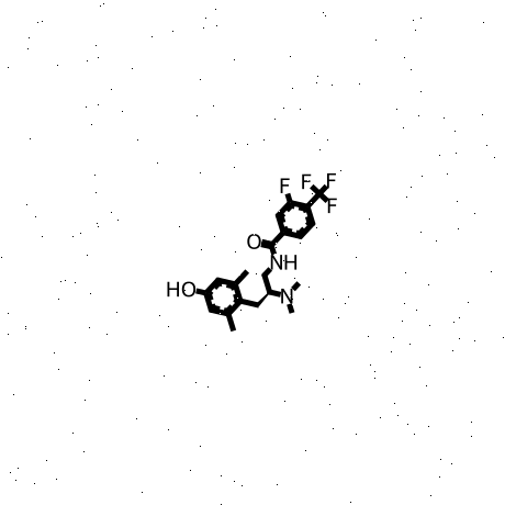 Cc1cc(O)cc(C)c1C[C@@H](CNC(=O)c1ccc(C(F)(F)F)c(F)c1)N(C)C